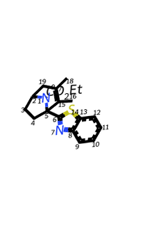 CCOC(=O)N1C2CCC1(c1nc3ccccc3s1)C(C)=C(C)C2